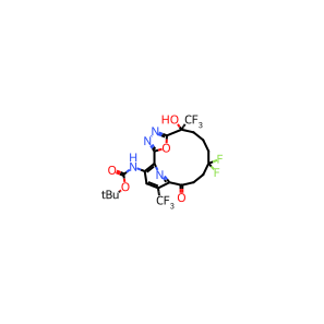 CC(C)(C)OC(=O)Nc1cc(C(F)(F)F)c2nc1-c1nnc(o1)C(O)(C(F)(F)F)CCCC(F)(F)CCC2=O